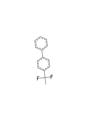 CC(F)(F)c1ccc(-c2ccccc2)cc1